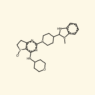 CN1c2ccccc2NC1C1CCN(c2nc3c(c(NC4CCOCC4)n2)[S+]([O-])CC3)CC1